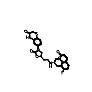 O=C1CSc2ccc(N3C[C@@H](CCN[C@H]4Cc5c(F)ccc6ccc(=O)n(c56)C4)OC3=O)cc2N1